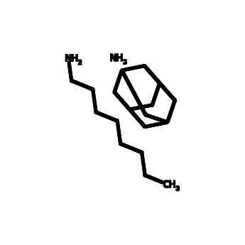 C1C2CC3CC1CC(C2)C3.CCCCCCCCN.N